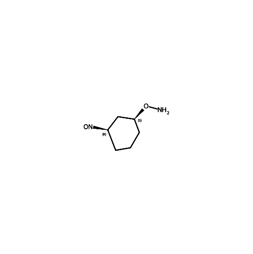 NO[C@H]1CCC[C@@H](N=O)C1